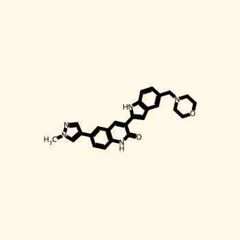 Cn1cc(-c2ccc3[nH]c(=O)c(-c4cc5cc(CN6CCOCC6)ccc5[nH]4)cc3c2)cn1